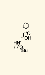 CC(C)(C)OC(=O)NCCC(O)CC(=O)c1ccccc1